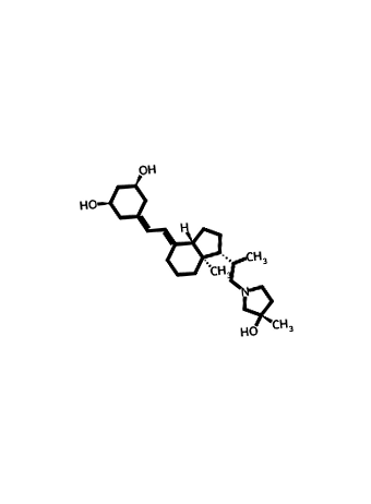 CC(CN1CC[C@](C)(O)C1)[C@H]1CC[C@H]2/C(=C/C=C3/C[C@@H](O)C[C@@H](O)C3)CCC[C@]12C